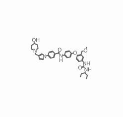 CCC(CC)NC(=O)Nc1ccc(Oc2ccc(NC(=O)c3ccc(-n4ccc(CN5CCC(O)CC5)c4)cc3)cc2)c(COC)c1